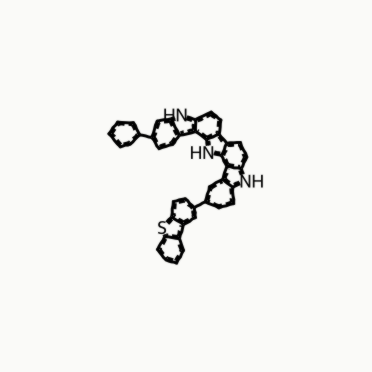 c1ccc(-c2ccc3c(c2)[nH]c2ccc4c5ccc6[nH]c7ccc(-c8ccc9sc%10ccccc%10c9c8)cc7c6c5[nH]c4c23)cc1